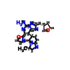 Cc1cnc2ccc(-c3c(-c4ncco4)nc(N)n4nc(C[C@@H]5CCOC5)nc34)cn12